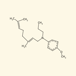 CCCN(C/C=C(\C)CCC=C(C)C)c1ccc(OC)cc1